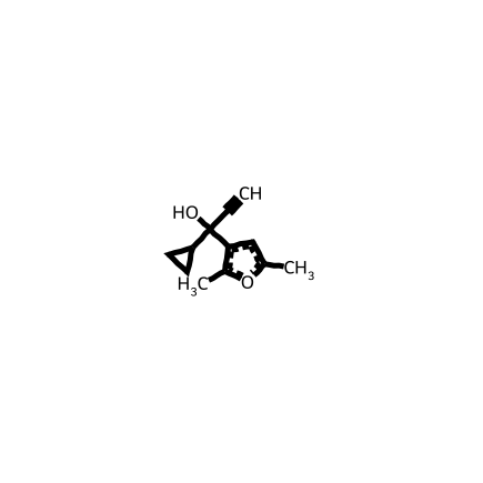 C#CC(O)(c1cc(C)oc1C)C1CC1